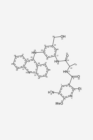 CCc1nc(OC)c(N)cc1C(=O)NC(C)C(=O)Nc1cc(CO)cc(Nc2c3ccccc3nc3ccccc23)c1